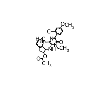 CCc1nc(-c2ccc(OC)cc2Cl)c(=O)n(CC)c1N[C@@H]1c2ccccc2C[C@@H]1OC(C)=O